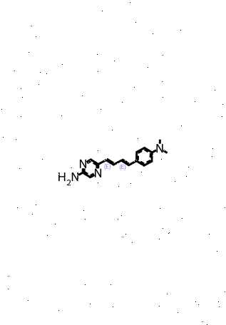 CN(C)c1ccc(/C=C/C=C/c2cnc(N)cn2)cc1